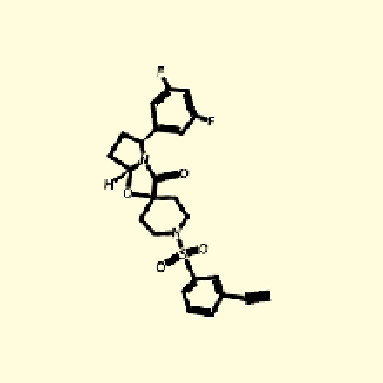 C#Cc1cccc(S(=O)(=O)N2CCC3(CC2)O[C@@H]2CC[C@@H](c4cc(F)cc(F)c4)N2C3=O)c1